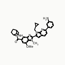 COc1cc(C(=O)N2CC3CCC2C3N)cc2nc(-c3cc4ccc(-c5cccc(N)c5)nc4n3CC3CC3)n(C)c12